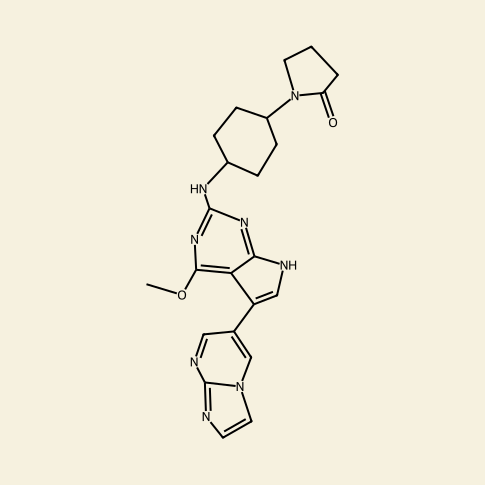 COc1nc(NC2CCC(N3CCCC3=O)CC2)nc2[nH]cc(-c3cnc4nccn4c3)c12